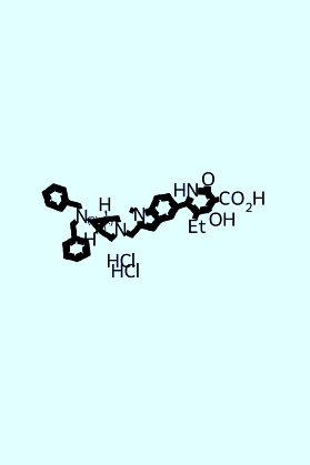 CCc1c(-c2ccc3c(c2)cc(CN2C[C@@H]4[C@H](C2)[C@@H]4N(Cc2ccccc2)Cc2ccccc2)n3C)[nH]c(=O)c(C(=O)O)c1O.Cl.Cl